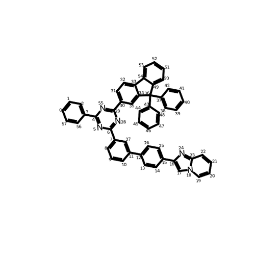 c1ccc(-c2nc(-c3cccc(-c4ccc(-c5cn6ccccc6n5)cc4)c3)nc(-c3ccc4c(c3)C(c3ccccc3)(c3ccccc3)c3ccccc3-4)n2)cc1